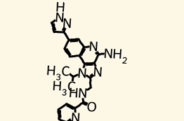 CC(C)n1c(CNC(=O)c2ccccn2)nc2c(N)nc3cc(-c4cc[nH]n4)ccc3c21